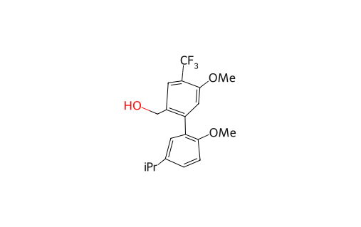 COc1ccc(C(C)C)cc1-c1cc(OC)c(C(F)(F)F)cc1CO